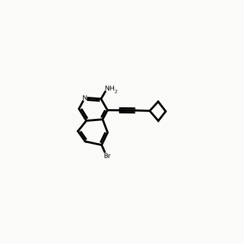 Nc1ncc2ccc(Br)cc2c1C#CC1CCC1